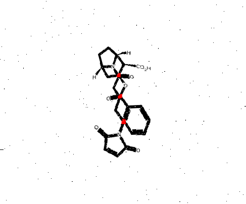 O=C(O[C@H]1C[C@@H]2CC[C@H]([C@H]1C(=O)O)N2C(=O)CCCCN1C(=O)C=CC1=O)c1ccccc1